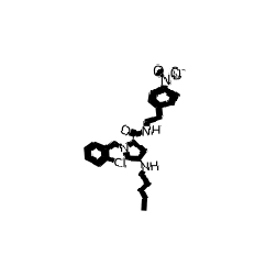 CCCCCN[C@H]1C[C@@H](C(=O)NCCc2ccc([N+](=O)[O-])cc2)N(Cc2ccccc2Cl)C1